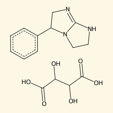 O=C(O)C(O)C(O)C(=O)O.c1ccc(C2CN=C3NCCN32)cc1